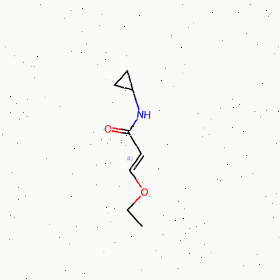 CCO/C=C/C(=O)NC1CC1